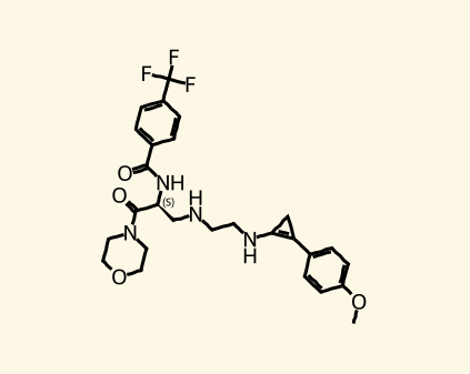 COc1ccc(C2=C(NCCNC[C@H](NC(=O)c3ccc(C(F)(F)F)cc3)C(=O)N3CCOCC3)C2)cc1